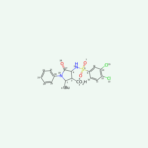 CC(C)(C)C1C(C(=O)O)C(NS(=O)(=O)c2ccc(Cl)c(Cl)c2)C(=O)N1c1ccccc1